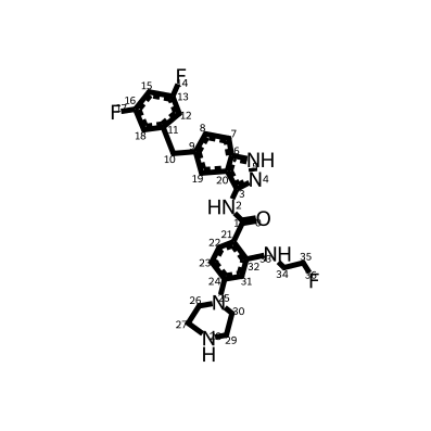 O=C(Nc1n[nH]c2ccc(Cc3cc(F)cc(F)c3)cc12)c1ccc(N2CCNCC2)cc1NCCF